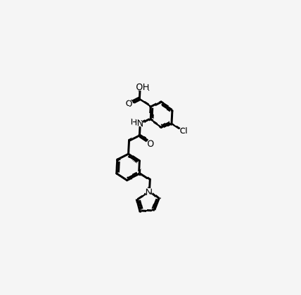 O=C(Cc1cccc(Cn2cccc2)c1)Nc1cc(Cl)ccc1C(=O)O